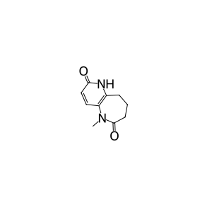 CN1C(=O)CCCc2[nH]c(=O)ccc21